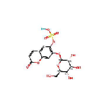 O=c1ccc2cc(OS(=O)(=O)OF)c(O[C@@H]3O[C@H](CO)[C@@H](O)[C@H](O)[C@H]3O)cc2o1